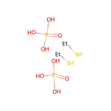 CCS.CCS.O=P(O)(O)O.O=P(O)(O)O